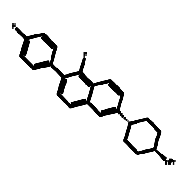 CCC[C@H]1CC[C@H](c2ccc3c(F)c(-c4ccc(F)cc4)ccc3c2)CC1